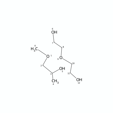 COCC(C)O.OCCOCCO